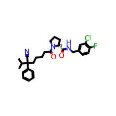 CC(C)C(C#N)(CCCCC(=O)N1CCC[C@@H]1C(=O)NCc1ccc(F)c(Cl)c1)c1ccccc1